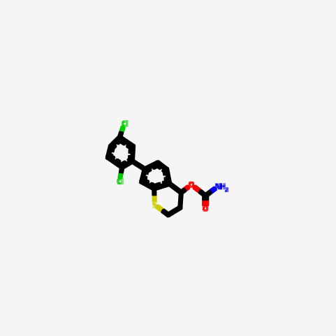 NC(=O)OC1CCSc2cc(-c3cc(Cl)ccc3Cl)ccc21